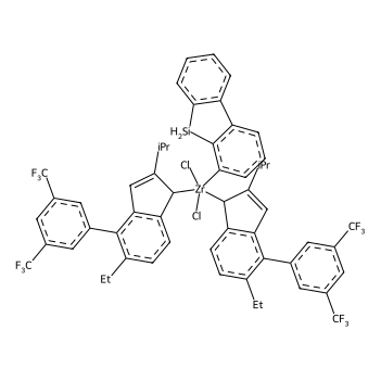 CCc1ccc2c(c1-c1cc(C(F)(F)F)cc(C(F)(F)F)c1)C=C(C(C)C)[CH]2[Zr]([Cl])([Cl])([c]1cccc2c1[SiH2]c1ccccc1-2)[CH]1C(C(C)C)=Cc2c1ccc(CC)c2-c1cc(C(F)(F)F)cc(C(F)(F)F)c1